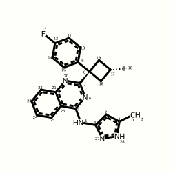 Cc1cc(Nc2nc([C@]3(c4ccc(F)cc4)C[C@@H](F)C3)nc3ccccc23)n[nH]1